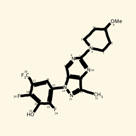 COC1CCN(c2ncc3c(n2)c(C)nn3-c2cc(C(F)(F)F)c(F)c(O)c2F)CC1